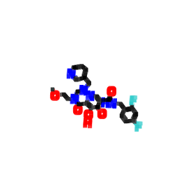 COCCN1CN(Cc2cccnc2)n2cc(C(=O)NCc3ccc(F)cc3F)c(=O)c(O)c2C1=O